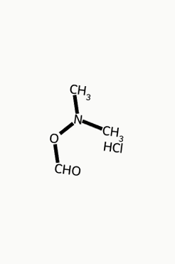 CN(C)OC=O.Cl